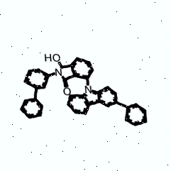 O=C1c2c(cccc2-n2c3ccccc3c3cc(-c4ccccc4)ccc32)C(O)N1c1cccc(-c2ccccc2)c1